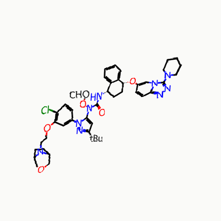 CC(C)(C)c1cc(N(OC=O)C(=O)N[C@H]2CC[C@@H](Oc3ccc4nnc(N5CCCCC5)n4c3)c3ccccc32)n(-c2ccc(Cl)c(OCCN3C4CCC3COC4)c2)n1